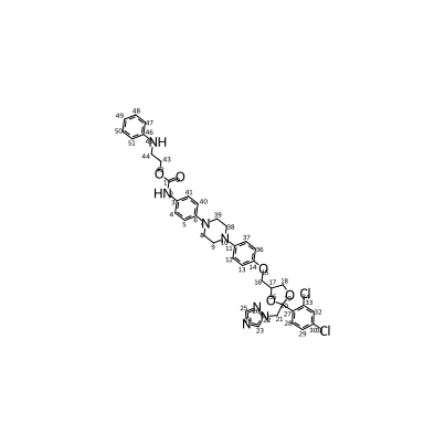 O=C(Nc1ccc(N2CCN(c3ccc(OCC4COC(Cn5cncn5)(c5ccc(Cl)cc5Cl)O4)cc3)CC2)cc1)OCCNc1ccccc1